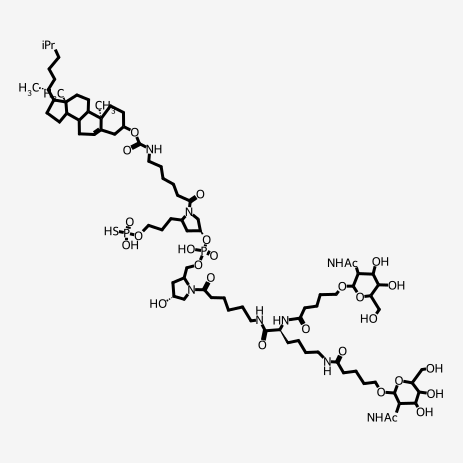 CC(=O)NC1C(OCCCCC(=O)NCCCC[C@H](NC(=O)CCCCOC2OC(CO)C(O)C(O)C2NC(C)=O)C(=O)NCCCCCC(=O)N2C[C@H](O)CC2COP(=O)(O)O[C@@H]2CC(CCCOP(=O)(O)S)N(C(=O)CCCCCNC(=O)OC3CC[C@@]4(C)C(=CCC5C6CCC([C@H](C)CCCC(C)C)[C@@]6(C)CCC54)C3)C2)OC(CO)C(O)C1O